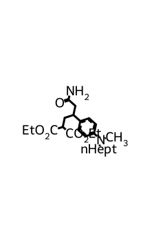 CCCCCCCN(C)c1ccc(C(CC(N)=O)CC(C(=O)OCC)C(=O)OCC)cc1